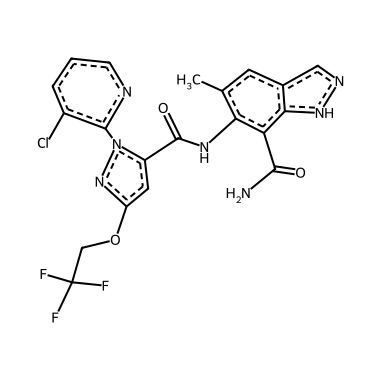 Cc1cc2cn[nH]c2c(C(N)=O)c1NC(=O)c1cc(OCC(F)(F)F)nn1-c1ncccc1Cl